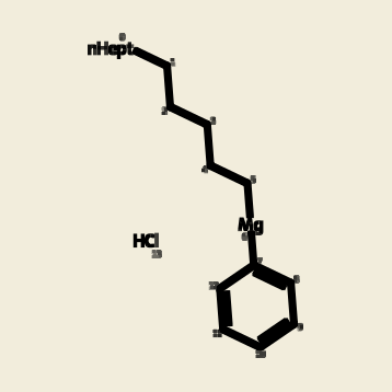 CCCCCCCCCCC[CH2][Mg][c]1ccccc1.Cl